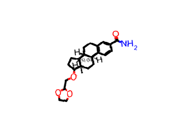 C[C@]12CC[C@@H]3c4ccc(C(N)=O)cc4CC[C@H]3[C@@H]1CCC2OCC1OCCO1